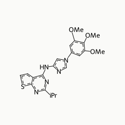 COc1cc(-n2cnc(Nc3nc(C(C)C)nc4sccc34)c2)cc(OC)c1OC